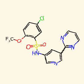 O=S(=O)(Nc1cncc(-c2ncccn2)c1)c1cc(Cl)ccc1OC(F)(F)F